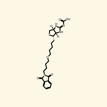 O=C(O)/N=C1/N[C@H]2[C@H](CS[C@H]2CCCCCOCCCCN2C(=O)c3ccccc3C2=O)N1